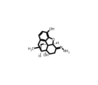 CN1CC[C@]23c4c5ccc(O)c4O[C@H]2/C(=N/N)CC[C@@]3(O)[C@H]1C5